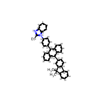 CCc1nc2ccccc2n1-c1ccc(-c2c3ccccc3c(-c3ccc4c(c3)C(C)(C)c3ccccc3-4)c3ccccc23)cc1